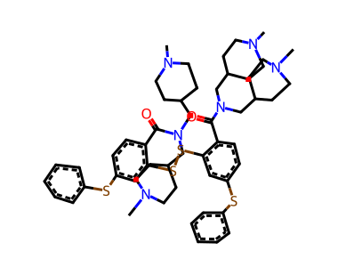 CN1CCC(CN(CC2CCN(C)CC2)C(=O)c2ccc(Sc3ccccc3)cc2SSc2cc(Sc3ccccc3)ccc2C(=O)N(CC2CCN(C)CC2)CC2CCN(C)CC2)CC1